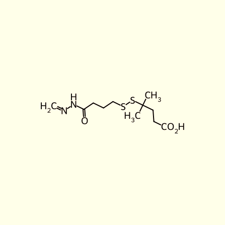 C=NNC(=O)CCCSSC(C)(C)CCC(=O)O